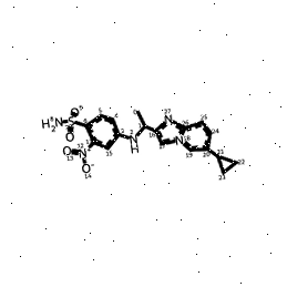 CC(Nc1ccc(S(N)(=O)=O)c([N+](=O)[O-])c1)c1cn2cc(C3CC3)ccc2n1